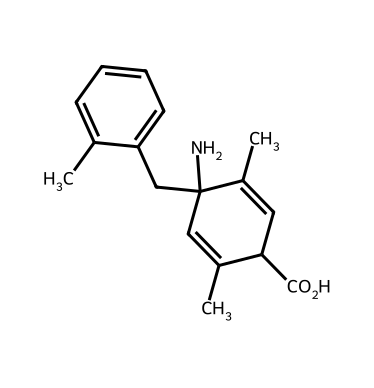 CC1=CC(N)(Cc2ccccc2C)C(C)=CC1C(=O)O